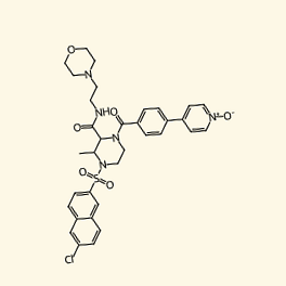 CC1C(C(=O)NCCN2CCOCC2)N(C(=O)c2ccc(-c3cc[n+]([O-])cc3)cc2)CCN1S(=O)(=O)c1ccc2cc(Cl)ccc2c1